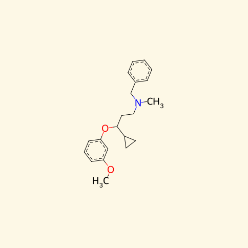 COc1cccc(OC(CCN(C)Cc2ccccc2)C2CC2)c1